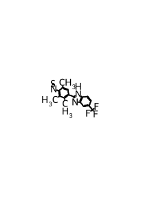 Cc1cc(-c2nc3cc(C(F)(F)F)ccc3[nH]2)c(C)c(C)c1N=S